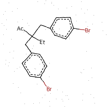 CCC(Cc1ccc(Br)cc1)(Cc1ccc(Br)cc1)C(C)=O